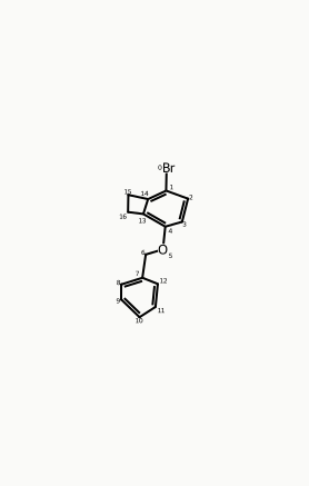 Brc1ccc(OCc2ccccc2)c2c1CC2